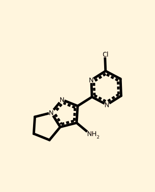 Nc1c(-c2nccc(Cl)n2)nn2c1CCC2